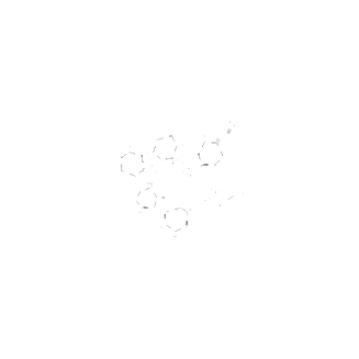 CCCS(=O)(=O)N1Cc2cc(C#N)ccc2N(C(S)CC(c2ccccc2)(c2ccccc2)c2ccccc2)CC1Cc1ccccc1